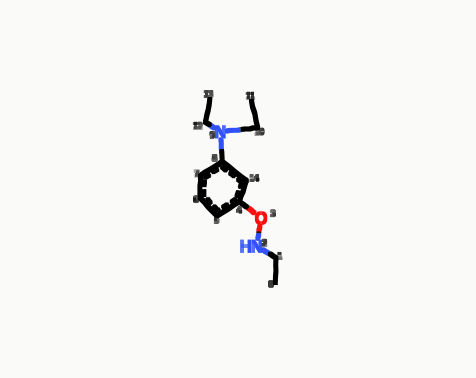 CCNOc1cccc(N(CC)CC)c1